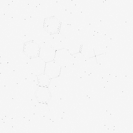 CC(C)(C)OC(=O)N[C@@H](Cc1ccccc1)C(=O)N1CCc2c([nH]c3ccc(O)cc23)C1c1ccccc1